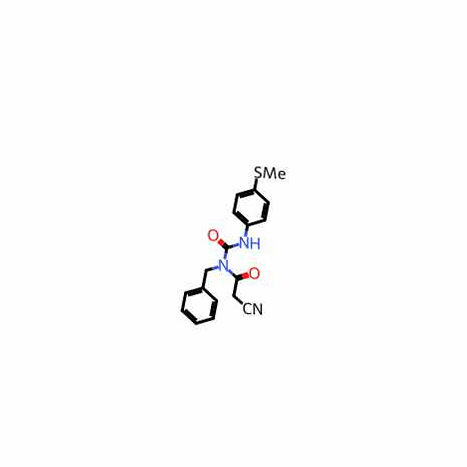 CSc1ccc(NC(=O)N(Cc2ccccc2)C(=O)CC#N)cc1